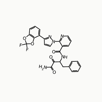 NC(=O)C(=O)C(Cc1ccccc1)NC(=O)c1cccnc1-n1ccc(-c2cccc3c2OC(F)(F)O3)n1